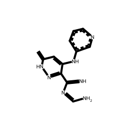 C=C1C=C(Nc2cccnc2)C(C(=N)/N=C\N)=NN1